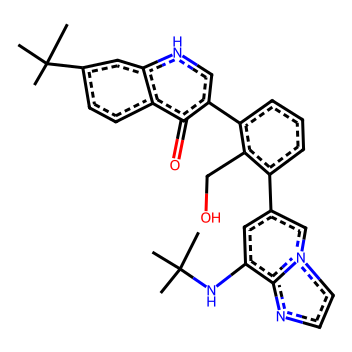 CC(C)(C)Nc1cc(-c2cccc(-c3c[nH]c4cc(C(C)(C)C)ccc4c3=O)c2CO)cn2ccnc12